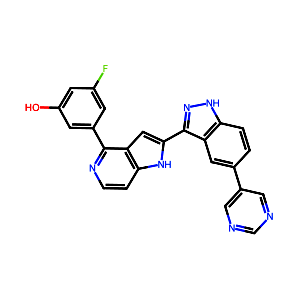 Oc1cc(F)cc(-c2nccc3[nH]c(-c4n[nH]c5ccc(-c6cncnc6)cc45)cc23)c1